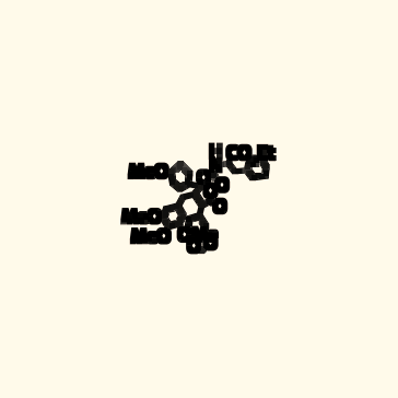 CCOC(=O)C(Cc1ccccc1)NC(=O)OC1(c2ccc(OC)cc2)OC(=O)C(c2ccc3c(c2)OCO3)=C1Cc1cc(OC)c(OC)c(OC)c1